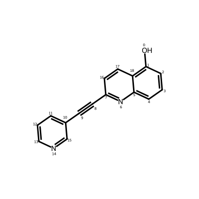 Oc1cccc2nc(C#Cc3cccnc3)ccc12